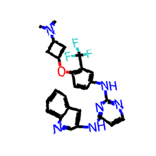 CN(C)C1CC(Oc2ccc(Nc3nccc(Nc4cnc5ccccc5c4)n3)cc2C(F)(F)F)C1